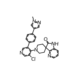 Cn1cc(-c2ccc(-c3cncc(Cl)c3N3CCC4(CC3)C(=O)Nc3cccnc34)cc2)cn1